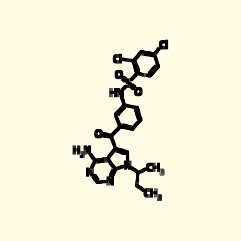 CCC(C)n1cc(C(=O)c2cccc(NS(=O)(=O)c3ccc(Cl)cc3Cl)c2)c2c(N)ncnc21